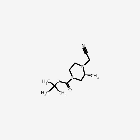 C[C@H]1CN(C(=O)OC(C)(C)C)CCN1CC#N